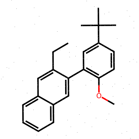 CCc1cc2ccccc2cc1-c1cc(C(C)(C)C)ccc1OC